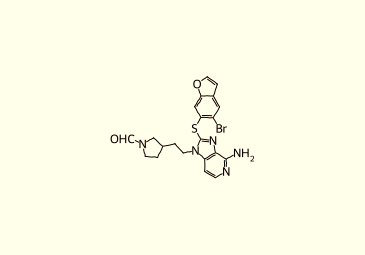 Nc1nccc2c1nc(Sc1cc3occc3cc1Br)n2CCC1CCN(C=O)C1